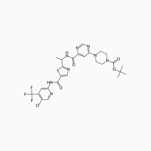 CC(NC(=O)c1cc(N2CCN(C(=O)OC(C)(C)C)CC2)ncn1)c1ncc(C(=O)Nc2cc(C(F)(F)F)c(Cl)cn2)s1